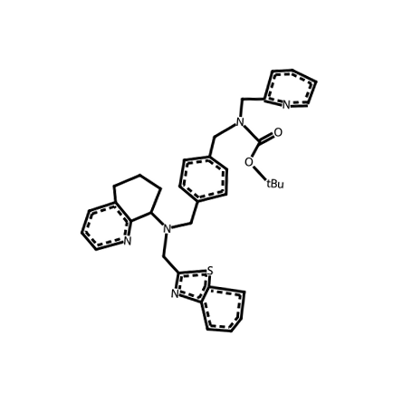 CC(C)(C)OC(=O)N(Cc1ccc(CN(Cc2nc3ccccc3s2)C2CCCc3cccnc32)cc1)Cc1ccccn1